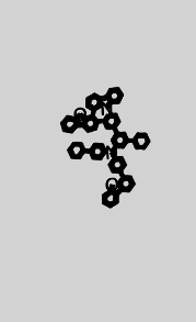 C1=CCCC(c2ccc(N(c3ccc(-c4cccc5c4oc4ccccc45)cc3)c3cc(C4=CCCC=C4)cc(-c4ccc5c(c4)-c4ccc6c(oc7ccccc76)c4-c4cccc6c7ccccc7n-5c46)c3)cc2)=C1